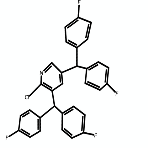 Fc1ccc(C(c2ccc(F)cc2)c2cnc(Cl)c(C(c3ccc(F)cc3)c3ccc(F)cc3)c2)cc1